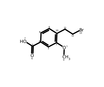 COc1cc(C(=O)O)ccc1CCBr